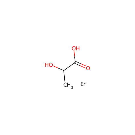 CC(O)C(=O)O.[Er]